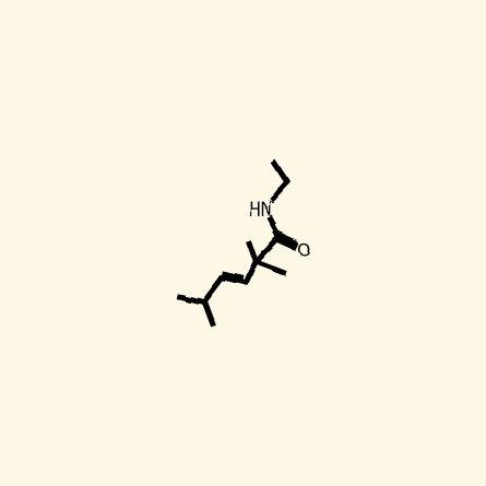 CCNC(=O)C(C)(C)/C=C/C(C)C